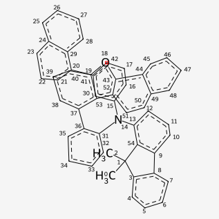 CC1(C)c2ccccc2-c2cccc(N(c3cccc(-c4cccc5ccccc45)c3)c3ccccc3-c3cccc4oc5c6ccccc6ccc5c34)c21